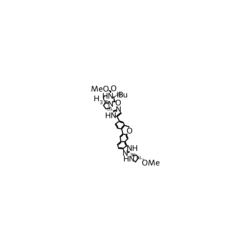 CC[C@H](C)C(NC(=O)OC)C(=O)N1[C@@H](C)CC[C@H]1c1ncc(-c2ccc3c(c2)COc2cc4c(ccc5nc([C@@H]6C[C@H](COC)CN6)[nH]c54)cc2-3)[nH]1